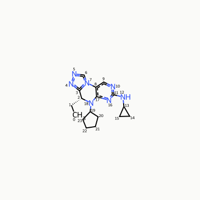 CC[C@@H]1c2nncn2-c2cnc(NC3CC3)nc2N1C1CCCC1